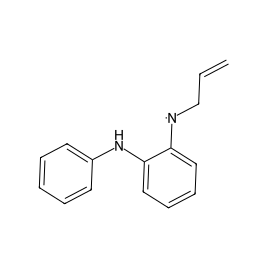 C=CC[N]c1ccccc1Nc1ccccc1